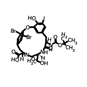 CC(O)[C@@H]1NC(=O)[C@@H](NC(=O)OC(C)(C)C)Cc2cc(I)c(O)c(c2)Oc2c(Br)cc(cc2Br)C[C@@H](C(=O)O)NC1=O